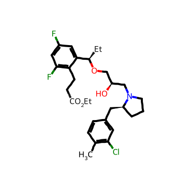 CCOC(=O)CCc1c(F)cc(F)cc1[C@@H](CC)OC[C@H](O)CN1CCC[C@H]1Cc1ccc(C)c(Cl)c1